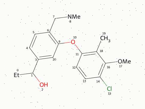 CCC(O)c1ccc(CNC)c(Oc2ccc(Cl)c(OC)c2C)c1